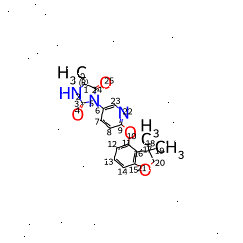 C[C@H]1NC(=O)N(c2ccc(Oc3cccc4c3C(C)(C)CO4)nc2)C1=O